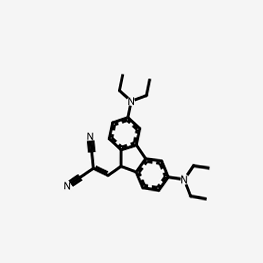 CCN(CC)c1ccc2c(c1)-c1cc(N(CC)CC)ccc1C2C=C(C#N)C#N